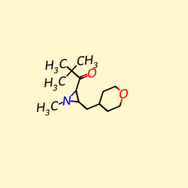 CN1C(CC2CCOCC2)C1C(=O)C(C)(C)C